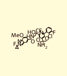 COc1cc(C(=O)NCC(O)(c2cc3c(c(-c4cccc(F)c4Cl)n2)OC[C@]3(C)C(N)=O)C(F)(F)F)cc2cn(C3(F)CC3)nc12